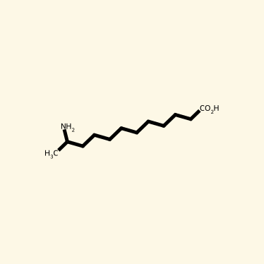 CC(N)CCCCCCCCCC(=O)O